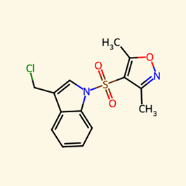 Cc1noc(C)c1S(=O)(=O)n1cc(CCl)c2ccccc21